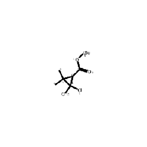 CC(C)(C)OC(=O)C1C(C)(C)C1(Cl)Cl